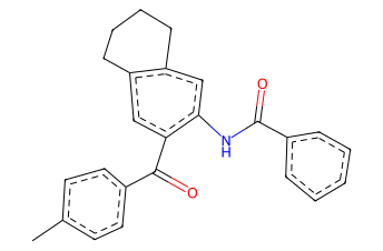 Cc1ccc(C(=O)c2cc3c(cc2NC(=O)c2ccccc2)CCCC3)cc1